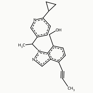 CC#Cc1ccc(CO)c2c1cnn2C(C)c1ccc(C2CC2)nc1